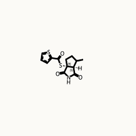 CC1CC[C@]2(SC(=O)c3cccs3)C(=O)NC(=O)[C@H]12